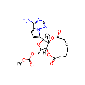 CC(C)OC(=O)OC[C@H]1O[C@@](C#N)(c2ccc3c(N)ncnn23)[C@@H]2OC(=O)CCCCCC(=O)O[C@@H]21